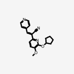 COc1ccc(/C(C#N)=C/c2ccncc2)nc1OC1CCCC1